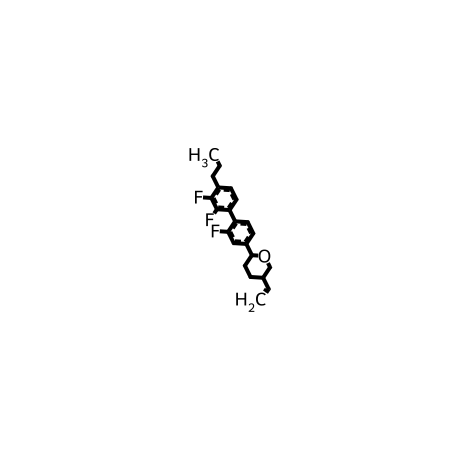 C=CC1CCC(c2ccc(-c3ccc(CCC)c(F)c3F)c(F)c2)OC1